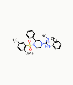 COc1ccc(C)cc1S(=O)(=O)N1CCN(/C(=N\C#N)Nc2ccccc2C)CC1c1ccccc1